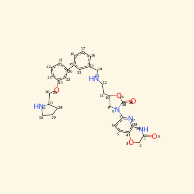 O=C1COc2ccc(N3CC(CCNCc4cccc(-c5cccc(OCC6CCCN6)c5)c4)OC3=O)nc2N1